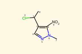 CC(Cl)c1cnn(C)c1[N+](=O)[O-]